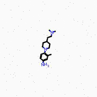 Cc1cc(N)ccc1N1CCC(CCN(C)C)CC1